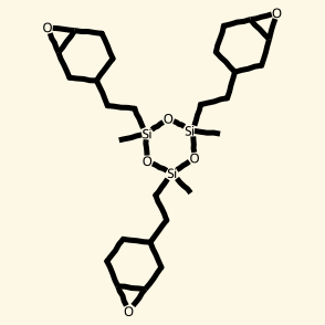 C[Si]1(CCC2CCC3OC3C2)O[Si](C)(CCC2CCC3OC3C2)O[Si](C)(CCC2CCC3OC3C2)O1